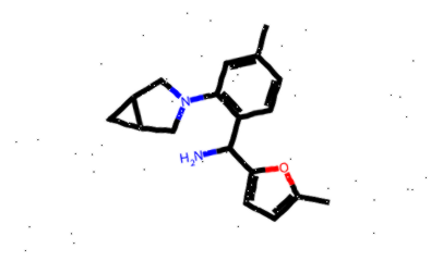 Cc1ccc(C(N)c2ccc(C)o2)c(N2CC3CC3C2)c1